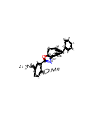 COc1ccc([N+](=O)[O-])cc1-c1nc2cc(-c3ccccc3)ccc2o1